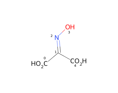 O=C(O)C(=NO)C(=O)O